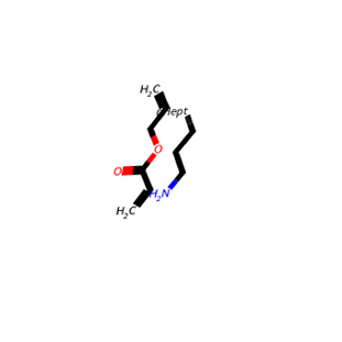 C=CCOC(=O)C=C.CCCCCCCCCCN